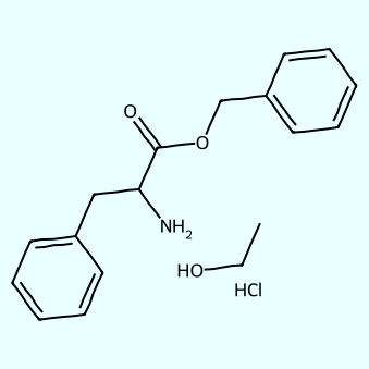 CCO.Cl.NC(Cc1ccccc1)C(=O)OCc1ccccc1